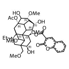 CCN1CC2(COC)C3[C@H](OC)C4C1C3(C1C3C[C@](O)([C@@H]1OC(=O)c1cc5ccccc5oc1=O)[C@@H](OC)C(O)[C@@]34OC(C)=O)[C@@H](OC)C[C@H]2O